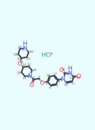 Cl.O=C(COc1ccc(-n2ccc(=O)[nH]c2=O)cc1)N1CCC(OC2CCNCC2)CC1